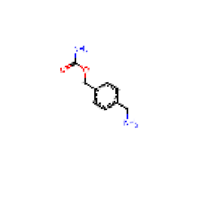 NCc1ccc([CH]OC(N)=O)cc1